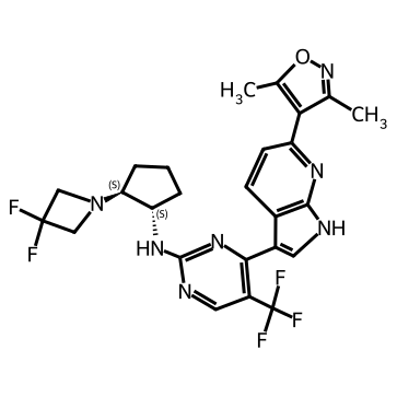 Cc1noc(C)c1-c1ccc2c(-c3nc(N[C@H]4CCC[C@@H]4N4CC(F)(F)C4)ncc3C(F)(F)F)c[nH]c2n1